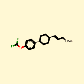 COC/C=C/[C@H]1CC[C@H](c2ccc(OC(F)F)cc2)CC1